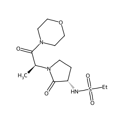 CCS(=O)(=O)N[C@H]1CCN([C@@H](C)C(=O)N2CCOCC2)C1=O